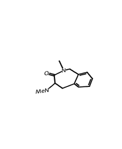 CNC1Cc2ccccc2CN(C)C1=O